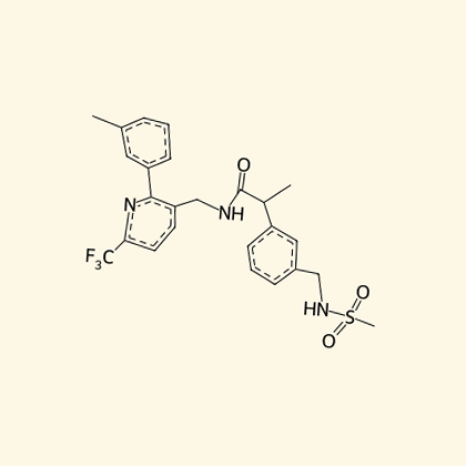 Cc1cccc(-c2nc(C(F)(F)F)ccc2CNC(=O)C(C)c2cccc(CNS(C)(=O)=O)c2)c1